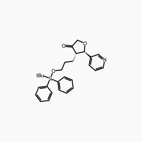 CC(C)(C)[Si](OCCC[C@@H]1C(=O)CO[C@H]1c1cccnc1)(c1ccccc1)c1ccccc1